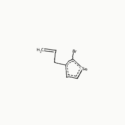 C=CCc1cc[se]c1Br